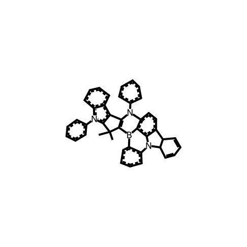 CC1(C)C2=C(c3c1n(-c1ccccc1)c1ccccc31)N(c1ccccc1)c1ccc3c4c1B2c1ccccc1N4C1C=CC=CC31